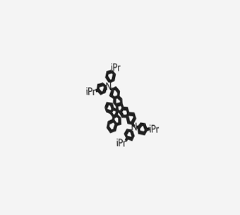 CC(C)c1ccc(N(c2ccc(C(C)C)cc2)c2ccc3cc4c(cc3c2)C2(c3cc5cc(N(c6ccc(C(C)C)cc6)c6ccc(C(C)C)cc6)ccc5cc3-4)c3ccccc3-c3c2ccc2ccccc32)cc1